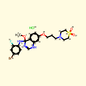 COC1(Nc2ccc(Br)cc2F)N=CNc2cc(OCCCN3CCS(=O)(=O)CC3)ccc21.Cl